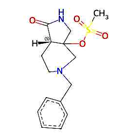 CS(=O)(=O)OC12CNC(=O)[C@H]1CCN(Cc1ccccc1)C2